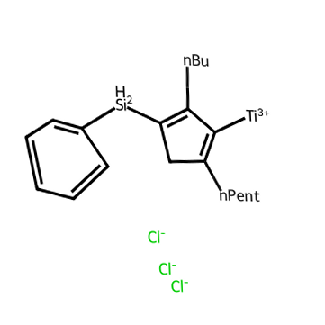 CCCCCC1=[C]([Ti+3])C(CCCC)=C([SiH2]c2ccccc2)C1.[Cl-].[Cl-].[Cl-]